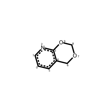 c1cnc2c(c1)COCO2